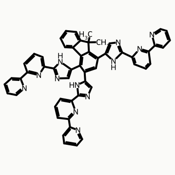 CC1(C)c2ccccc2-c2c(-c3cnc(-c4cccc(-c5ccccn5)n4)[nH]3)c(-c3cnc(-c4cccc(-c5ccccn5)n4)[nH]3)cc(-c3cnc(-c4cccc(-c5ccccn5)n4)[nH]3)c21